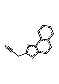 N#CCc1nc2c(ccc3ccccc32)o1